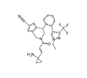 CCn1cc(-c2ccccc2C2CN(C(=O)/C=C/C3(N)CC3)Cc3sc(C#N)cc32)c(C(F)(F)F)n1